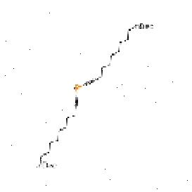 CCCCCCCCCCCCCCCCCCC#C[P]C#CCCCCCCCCCCCCCCCCCC